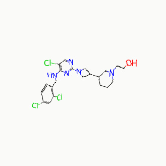 OCCN1CCCC(C2CN(c3ncc(Cl)c(NCc4ccc(Cl)cc4Cl)n3)C2)C1